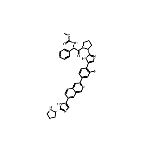 COC(=O)N[C@@H](C(=O)N1CCC[C@H]1c1ncc(-c2ccc(-c3cc4ccc(-c5cnc([C@@H]6CCCN6)[nH]5)cc4cn3)cc2F)[nH]1)c1ccccc1